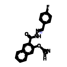 O=C(N/N=C/c1ccc(F)cc1)c1cc2ccccc2cc1OC1=NB1